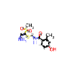 Cc1cc(O)ccc1C(=O)NCS/C(=C\N)S(C)(=O)=O